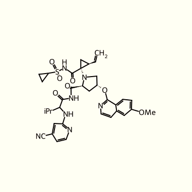 C=C[C@@H]1C[C@@]1(C(=O)NS(=O)(=O)C1CC1)N1C[C@H](Oc2nccc3cc(OC)ccc23)C[C@H]1C(=O)NC(=O)C(Nc1cc(C#N)ccn1)C(C)C